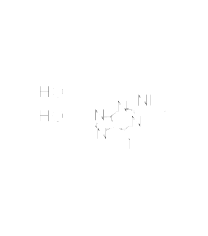 Nc1nc(I)c2ncn(CC(CO)CO)c2n1